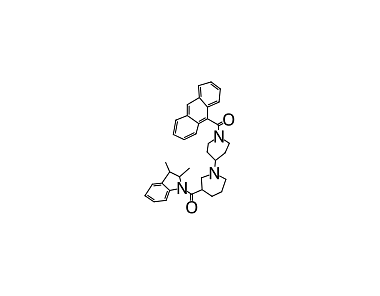 CC1c2ccccc2N(C(=O)C2CCCN(C3CCN(C(=O)c4c5ccccc5cc5ccccc45)CC3)C2)C1C